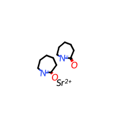 O=C1CCCCC[N-]1.O=C1CCCCC[N-]1.[Sr+2]